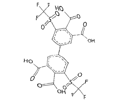 O=C(O)c1cc(-c2cc(C(=O)O)c(C(=O)O)c(S(=O)(=O)C(F)(F)F)c2)cc(S(=O)(=O)C(F)(F)F)c1C(=O)O